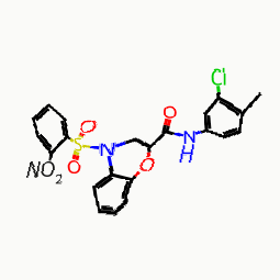 Cc1ccc(NC(=O)C2CN(S(=O)(=O)c3ccccc3[N+](=O)[O-])c3ccccc3O2)cc1Cl